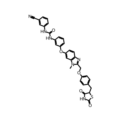 Cn1c(COc2ccc(CC3SC(=O)NC3=O)cc2)nc2ccc(Oc3cccc(NC(=O)Nc4cccc(C#N)c4)c3)cc21